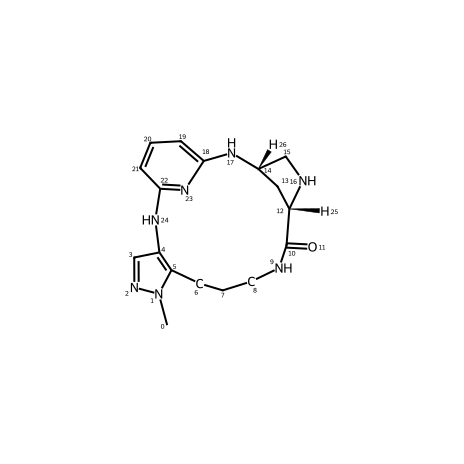 Cn1ncc2c1CCCNC(=O)[C@@H]1C[C@@H](CN1)Nc1cccc(n1)N2